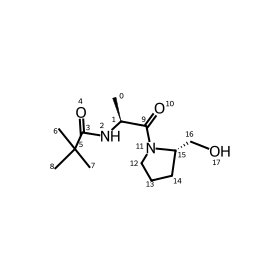 C[C@H](NC(=O)C(C)(C)C)C(=O)N1CCC[C@H]1CO